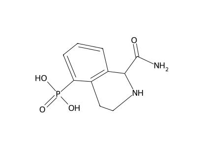 NC(=O)C1NCCc2c1cccc2P(=O)(O)O